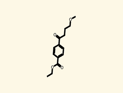 CCOC(=O)c1ccc(C(=O)CCCOC)cc1